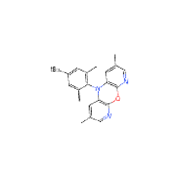 Cc1cnc2c(c1)N(c1c(C)cc(C(C)(C)C)cc1C)c1cc(C)cnc1O2